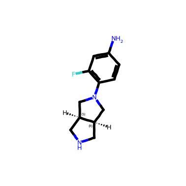 Nc1ccc(N2C[C@H]3CNC[C@H]3C2)c(F)c1